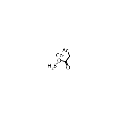 BOC(=O)CC(C)=O.[Co]